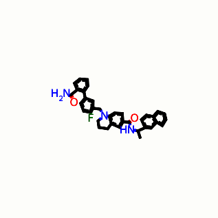 CC(NC(=O)c1ccc2c(c1)CCCN2Cc1cc(-c2ccccc2C(N)=O)ccc1F)c1ccc2ccccc2c1